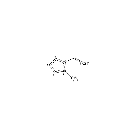 [CH]=Cc1cccn1C